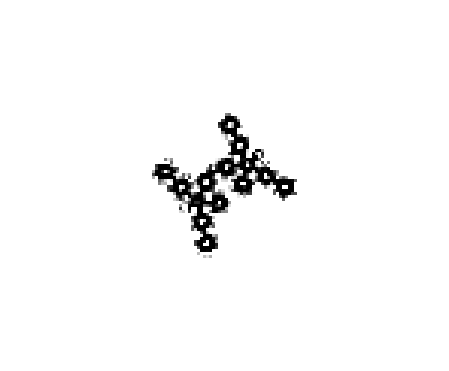 O=C1C(c2ccc(-c3ccccc3)cc2)=C(c2ccccc2)C(c2ccc(Oc3ccc(C4=C(c5ccc(-c6ccccc6)cc5)C(=O)C(c5ccc(-c6ccccc6)cc5)=C4c4ccccc4)cc3)cc2)=C1c1ccc(-c2ccccc2)cc1